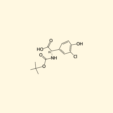 CC(C)(C)OC(=O)N[C@H](C(=O)O)c1ccc(O)c(Cl)c1